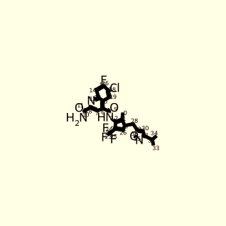 CC1=C(NC(=O)c2cc(C(N)=O)nc3cc(F)c(Cl)cc23)C(C(F)(F)F)=CC1Cc1cc(C(C)C)no1